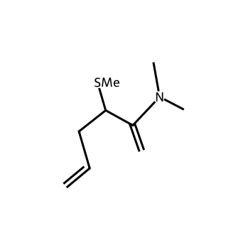 C=CCC(SC)C(=C)N(C)C